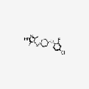 Cc1n[nH]c(C)c1SN1CCC(Oc2ccc(Cl)cc2F)CC1